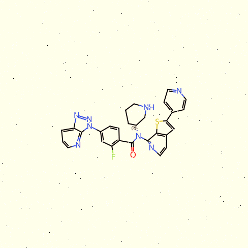 O=C(c1ccc(-n2nnc3cccnc32)cc1F)N(c1nccc2cc(-c3ccncc3)sc12)[C@@H]1CCCNC1